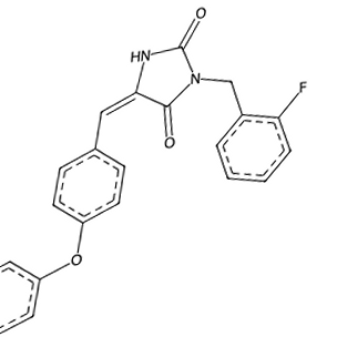 O=C1NC(=Cc2ccc(Oc3ccccc3)cc2)C(=O)N1Cc1ccccc1F